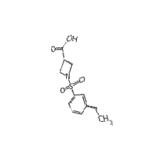 CCc1cccc(S(=O)(=O)N2CC(C(=O)O)C2)c1